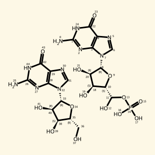 Nc1nc2c(ncn2[C@@H]2O[C@H](C(O)OP(=O)(O)O)[C@@H](O)[C@H]2O)c(=O)[nH]1.Nc1nc2c(ncn2[C@@H]2O[C@H](CO)[C@@H](O)[C@H]2O)c(=O)[nH]1